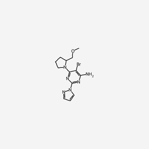 COCC1CCCN1c1nc(-n2cccn2)nc(N)c1Br